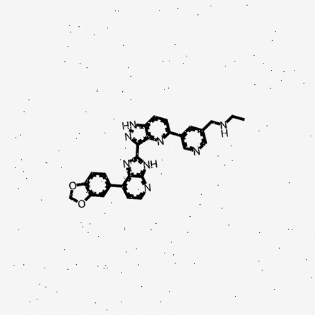 CCNCc1cncc(-c2ccc3[nH]nc(-c4nc5c(-c6ccc7c(c6)OCO7)ccnc5[nH]4)c3n2)c1